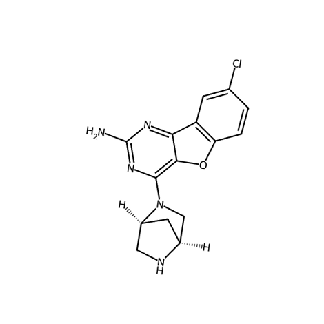 Nc1nc(N2C[C@@H]3C[C@H]2CN3)c2oc3ccc(Cl)cc3c2n1